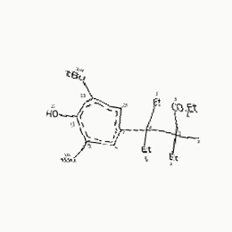 CCOC(=O)C(C)(CC)C(CC)(CC)c1cc(C(C)(C)C)c(O)c(C(C)(C)C)c1